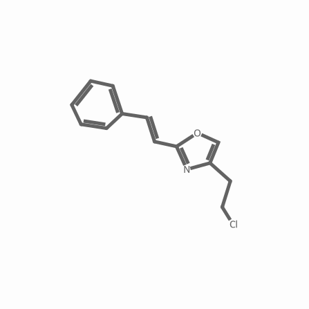 ClCCc1coc(/C=C/c2ccccc2)n1